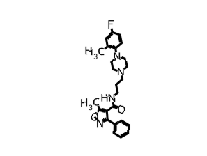 Cc1cc(F)ccc1N1CCN(CCCNC(=O)c2c(-c3ccccc3)noc2C)CC1